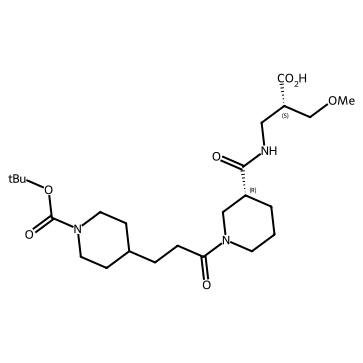 COC[C@H](CNC(=O)[C@@H]1CCCN(C(=O)CCC2CCN(C(=O)OC(C)(C)C)CC2)C1)C(=O)O